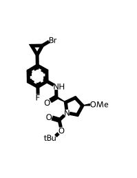 CO[C@@H]1C[C@H](C(=O)Nc2cc(C3CC3Br)ccc2F)N(C(=O)OC(C)(C)C)C1